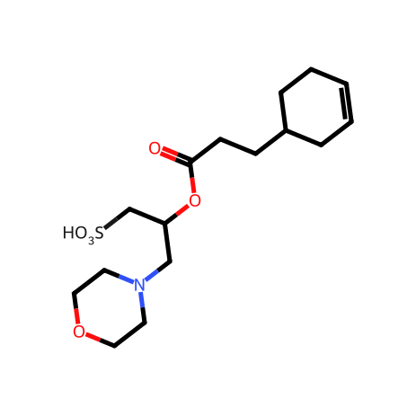 O=C(CCC1CC=CCC1)OC(CN1CCOCC1)CS(=O)(=O)O